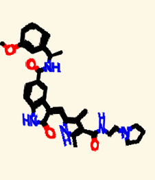 COc1cccc([C@@H](C)NC(=O)c2ccc3c(c2)C(=Cc2[nH]c(C)c(C(=O)NCCN4CCCC4)c2C)C(=O)N3)c1